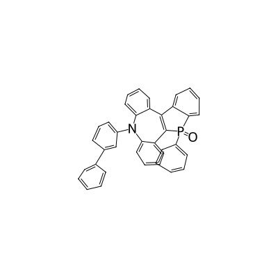 O=P1(c2ccccc2)C2=C(c3ccccc3N(c3cccc(-c4ccccc4)c3)c3ccccc32)c2ccccc21